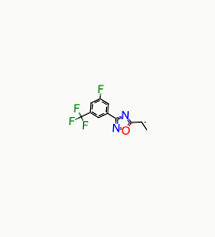 C[CH]c1nc(-c2cc(F)cc(C(F)(F)F)c2)no1